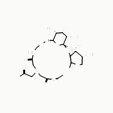 CC(=O)CN1CC(=O)NCCO[C@@H]2O[C@@H](O[C@@H]3[C@H](OCCNC(=O)C1)O[C@@H](C)[C@@H](O)[C@H]3O)[C@@H](O)[C@@H](O)[C@@H]2O